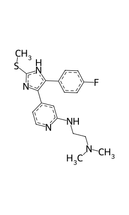 CSc1nc(-c2ccnc(NCCN(C)C)c2)c(-c2ccc(F)cc2)[nH]1